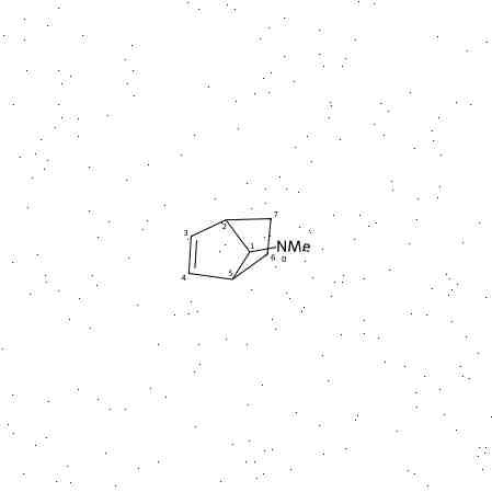 CNC1C2C=CC1CC2